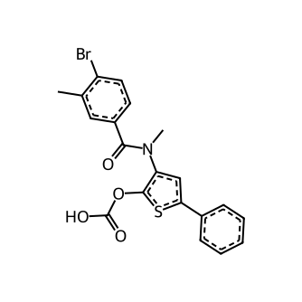 Cc1cc(C(=O)N(C)c2cc(-c3ccccc3)sc2OC(=O)O)ccc1Br